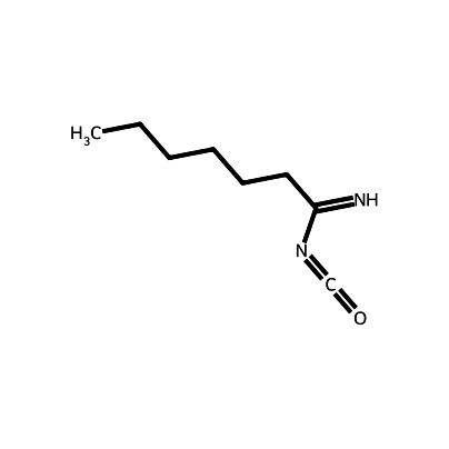 CCCCCCC(=N)N=C=O